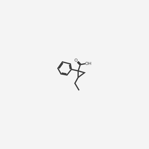 CCC1CC1(C(=O)O)c1ccccc1